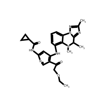 CCOCC(=O)c1cnc(NC(=O)C2CC2)cc1Nc1cccc2c1N(C)C(C)c1nc(C)nn1-2